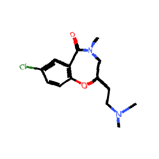 CN(C)CCC1CN(C)C(=O)c2cc(Cl)ccc2O1